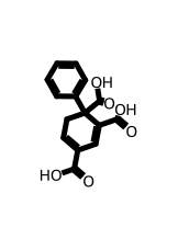 O=C(O)C1=CCC(C(=O)O)(c2ccccc2)C(C(=O)O)=C1